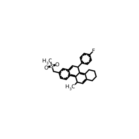 CC1C=C2CCCCC2=C2C1=c1ccc(CS(C)(=O)=O)cc1=CC2c1ccc(F)cc1